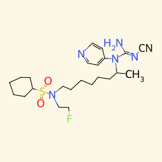 CC(CCCCCCN(CCF)S(=O)(=O)C1CCCCC1)N(C(N)=NC#N)c1ccncc1